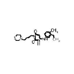 CCc1cc(Nc2cc(=O)n(CCCCN3CCSCC3)c(=O)[nH]2)ccc1C